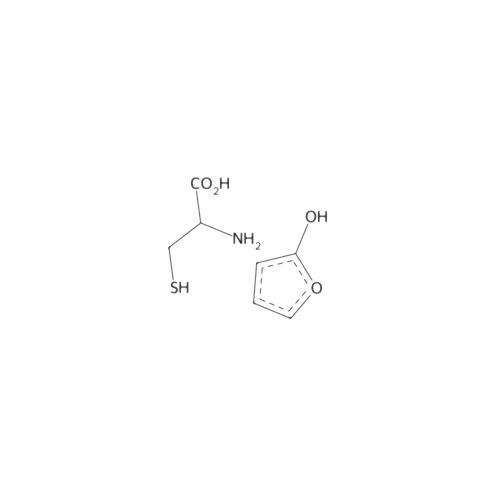 NC(CS)C(=O)O.Oc1ccco1